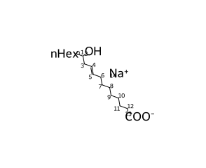 CCCCCCC(O)C/C=C/CCCCCCCC(=O)[O-].[Na+]